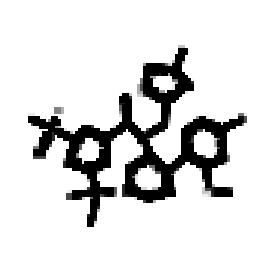 COc1cc(F)ccc1-c1ccncc1N(Cc1ncc(C)o1)C(=O)c1cc(C(F)(F)F)cc(S(C)(=O)=O)c1